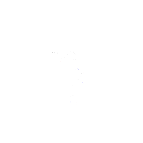 CNC(=O)c1cccc(Cn2ccc3cc(-c4conc4C)cnc3c2=O)c1